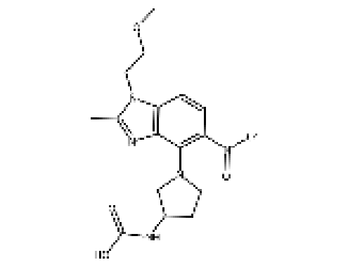 COCCn1c(C)nc2c(N3CCC(NC(=O)O)C3)c([N+](=O)[O-])ccc21